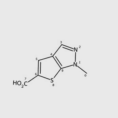 Cn1ncc2cc(C(=O)O)sc21